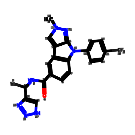 CCC(NC(=O)c1ccc2c(c1)c1cn(C)nc1n2-c1ccc(C(F)(F)F)cc1)c1c[nH]nn1